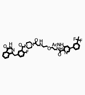 CC(=O)Nc1cc(-c2cccc(C(C)(F)F)c2)cnc1C(=O)NCCOCCNCC(=O)N1CCN(C(=O)c2cc(Cc3n[nH]c(=O)c4ccccc34)ccc2F)CC1